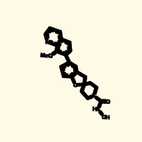 COc1c(-c2ccc3c(c2)CC2(CCN(C(=O)NO)CC2)O3)ccc2cccnc12